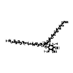 O=P(OOOOOOOOOOOOOOO)(OOOOOOOOOOOOOOOO)OC1C(O)[C@@H](O)[C@@H](O)C(O)[C@H]1O